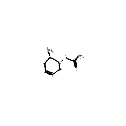 NC(=O)O[C@@H]1CC=CC[C@H]1N